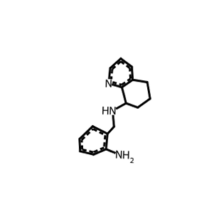 Nc1ccccc1CNC1CCCc2cccnc21